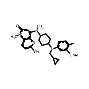 COc1cc(N(CC2CC2)C2CCC(N(C)c3cc(=O)n(C)c4ccc(C#N)nc34)CC2)ccc1F